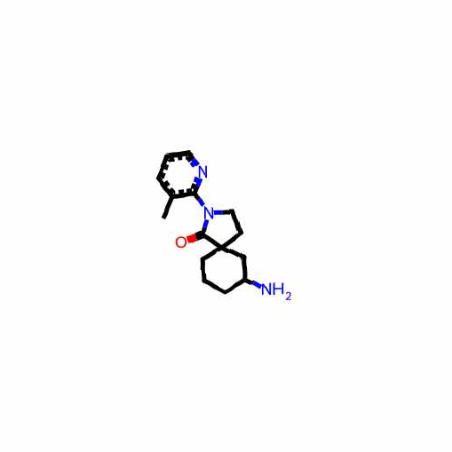 Cc1cccnc1N1CCC2(CCCC(N)C2)C1=O